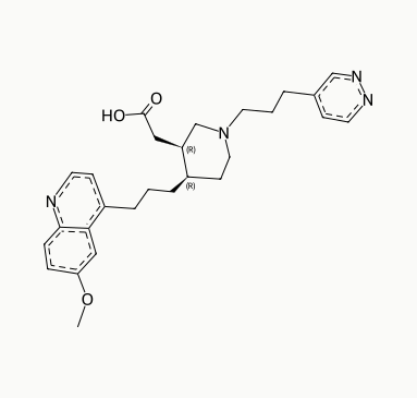 COc1ccc2nccc(CCC[C@@H]3CCN(CCCc4ccnnc4)C[C@@H]3CC(=O)O)c2c1